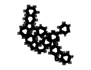 c1ccc(-c2nc(-c3ccc(-n4c5ccccc5c5cc6ccccc6cc54)c(-c4cccc5sc6ccc7ccccc7c6c45)c3)nc(-c3ccc4oc5ccccc5c4c3)n2)cc1